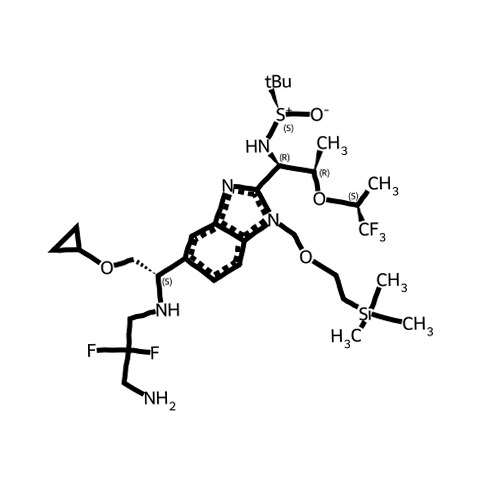 C[C@H](O[C@H](C)[C@H](N[S@+]([O-])C(C)(C)C)c1nc2cc([C@@H](COC3CC3)NCC(F)(F)CN)ccc2n1COCC[Si](C)(C)C)C(F)(F)F